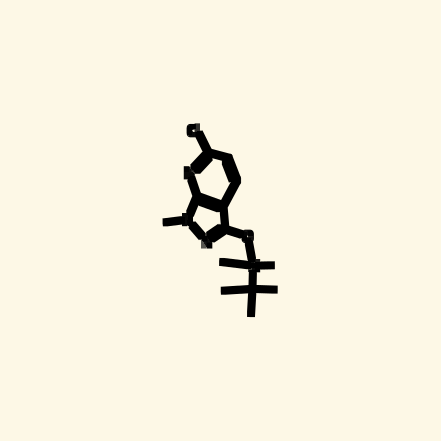 Cn1nc(O[Si](C)(C)C(C)(C)C)c2ccc(Cl)nc21